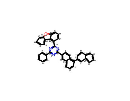 c1ccc(-c2nc(-c3ccc4c(-c5ccc6ccccc6c5)cccc4c3)nc(-c3cccc4oc5ccccc5c34)n2)cc1